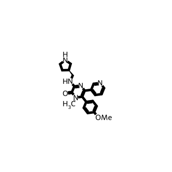 COc1ccc(-c2c(-c3cccnc3)nc(NC[C@H]3CCNC3)c(=O)n2C)cc1